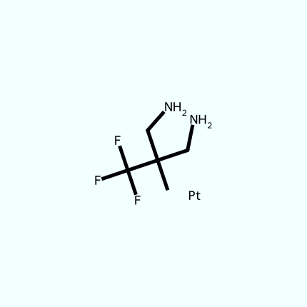 CC(CN)(CN)C(F)(F)F.[Pt]